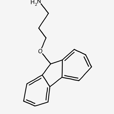 NCCCOC1c2ccccc2-c2ccccc21